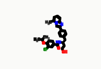 Cc1cccc2nc(-c3ccc(C[C@@H](CCO)NC(=O)c4ccc(OC(C)C)c(Cl)c4)cc3)cn12